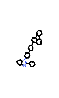 C1=CCC(c2nc3ccccc3n2-c2ccc(-c3ccc(-c4ccc5c6c(cccc46)C4=CCCC=C45)cc3)cc2)C=C1